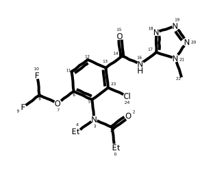 CCC(=O)N(CC)c1c(OC(F)F)ccc(C(=O)Nc2nnnn2C)c1Cl